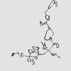 CCOC(=O)N1CCN(C(=O)C(N)(N)CC(=O)OC(C)(C)C)CC1